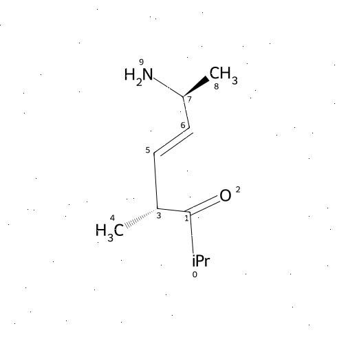 CC(C)C(=O)[C@H](C)/C=C/[C@H](C)N